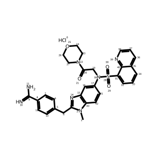 Cl.Cn1c(Cc2ccc(C(=N)N)cc2)nc2cc(N(CC(=O)N3CCOCC3)S(=O)(=O)c3cccc4cccnc34)ccc21